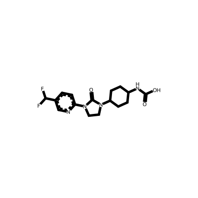 O=C(O)NC1CCC(N2CCN(c3ccc(C(F)F)cn3)C2=O)CC1